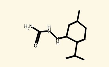 CC1CCC(C(C)C)C(NNC(N)=O)C1